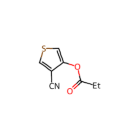 CCC(=O)Oc1cscc1C#N